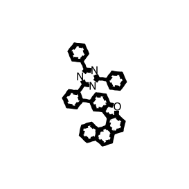 c1ccc(-c2nc(-c3ccccc3)nc(-c3ccccc3-c3ccc4oc5ccc6ccc7ccccc7c6c5c4c3)n2)cc1